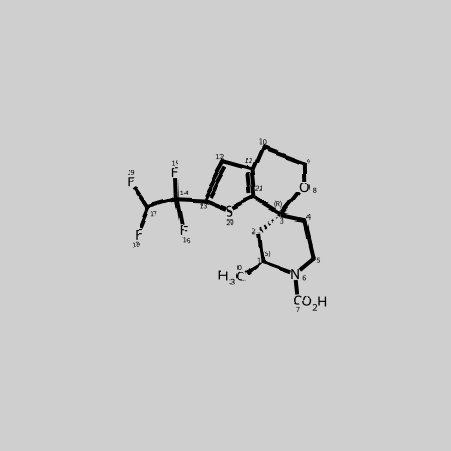 C[C@H]1C[C@@]2(CCN1C(=O)O)OCCc1cc(C(F)(F)C(F)F)sc12